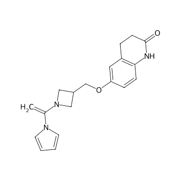 C=C(N1CC(COc2ccc3c(c2)CCC(=O)N3)C1)n1cccc1